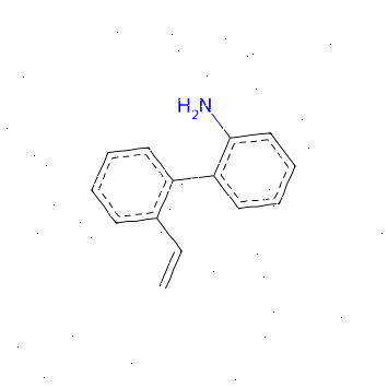 C=Cc1ccccc1-c1ccccc1N